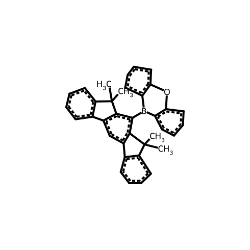 CC1(C)c2ccccc2-c2cc3c(c(B4c5ccccc5Oc5ccccc54)c21)C(C)(C)c1ccccc1-3